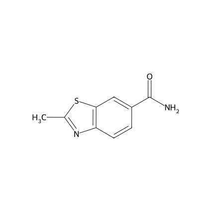 Cc1nc2ccc(C(N)=O)cc2s1